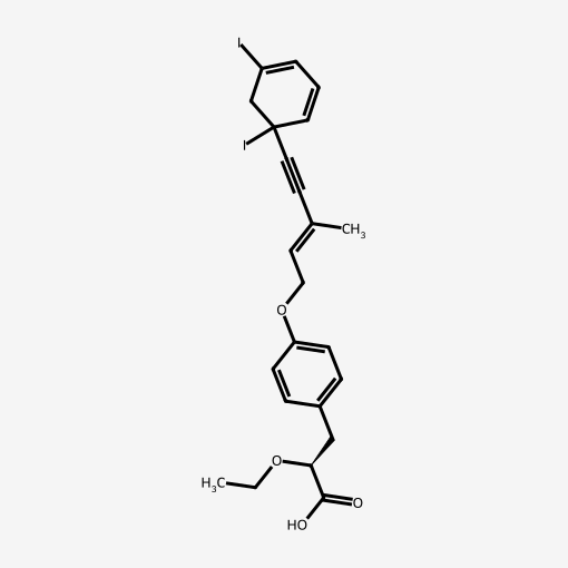 CCO[C@@H](Cc1ccc(OC/C=C(\C)C#CC2(I)C=CC=C(I)C2)cc1)C(=O)O